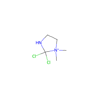 C[N+]1(C)CCNC1(Cl)Cl